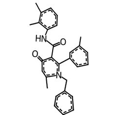 Cc1cccc(-c2c(C(=O)Nc3cccc(C)c3C)c(=O)cc(C)n2Cc2ccccc2)c1